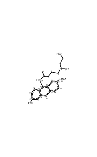 CCN(CCO)CCCC(C)Nc1c2ccc(Cl)cc2nc2ccc(OC)cc12